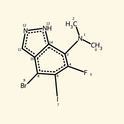 CN(C)c1c(F)c(I)c(Br)c2cn[nH]c12